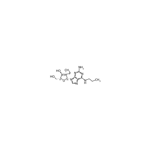 CCCNc1nc(N)nc2c1ncn2[C@@H]1O[C@H](CO)[C@@H](O)[C@@]1(C)F